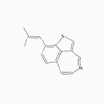 CC(C)=Cc1ccc2c3c(csc13)C=NC=C2